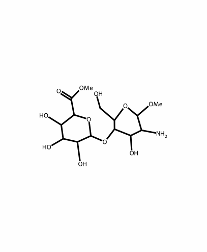 COC(=O)C1OC(OC2C(CO)OC(OC)C(N)C2O)C(O)C(O)C1O